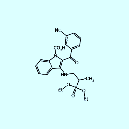 CCOP(=O)(OCC)C(C)CNc1c(C(=O)c2cccc(C#N)c2)n(C(=O)O)c2ccccc12